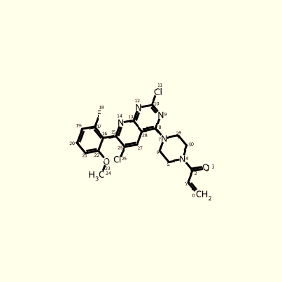 C=CC(=O)N1CCN(c2nc(Cl)nc3nc(-c4c(F)cccc4OC)c(Cl)cc23)CC1